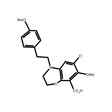 COc1ccc(CCN2CCOc3c2cc(Cl)c(OC)c3C(=O)O)cc1